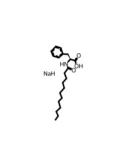 CCCCCCCCCCCC(=O)N[C@@H](Cc1ccccc1)C(=O)O.[NaH]